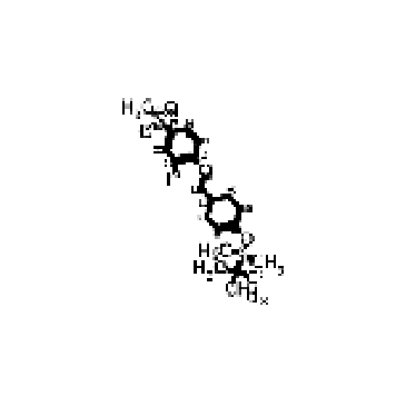 CC(C)(C)[Si](C)(C)OC1=CCC(COc2ccc(S(C)(=O)=O)cc2F)CC1